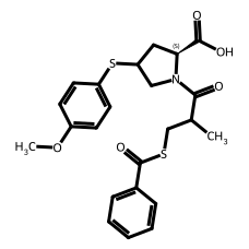 COc1ccc(SC2C[C@@H](C(=O)O)N(C(=O)C(C)CSC(=O)c3ccccc3)C2)cc1